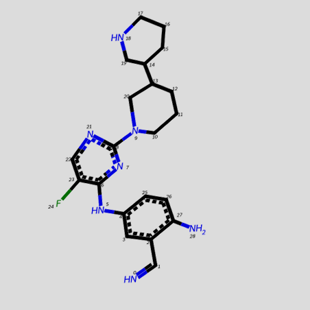 N=Cc1cc(Nc2nc(N3CCCC(C4CCCNC4)C3)ncc2F)ccc1N